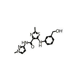 Cc1nc(C(=O)Nc2ccn(C)n2)c(Nc2cccc(CO)c2)s1